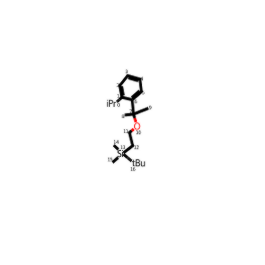 CC(C)c1ccccc1C(C)(C)OCC[Si](C)(C)C(C)(C)C